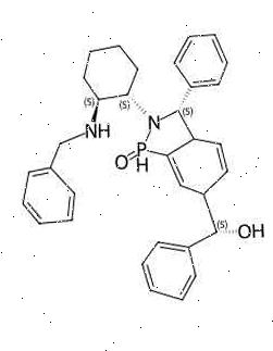 O=[PH]1C2=CC([C@H](O)c3ccccc3)C=CC2[C@@H](c2ccccc2)N1[C@H]1CCCC[C@@H]1NCc1ccccc1